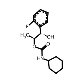 C[C@H](OC(=O)NC1CCCCC1)[C@@H](O)c1ccccc1F